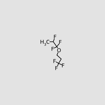 CC(F)C(F)(F)OCCC(F)(F)F